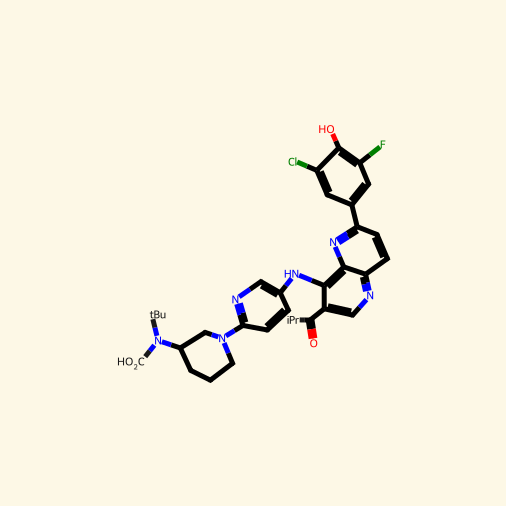 CC(C)C(=O)c1cnc2ccc(-c3cc(F)c(O)c(Cl)c3)nc2c1Nc1ccc(N2CCCC(N(C(=O)O)C(C)(C)C)C2)nc1